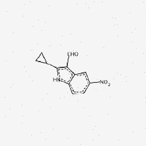 O=Cc1c(C2CC2)[nH]c2ccc([N+](=O)[O-])cc12